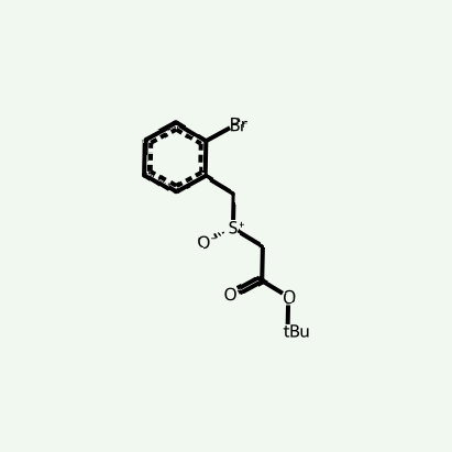 CC(C)(C)OC(=O)C[S@+]([O-])Cc1ccccc1Br